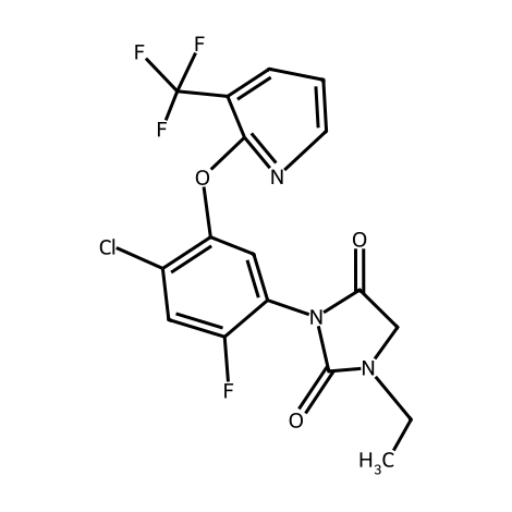 CCN1CC(=O)N(c2cc(Oc3ncccc3C(F)(F)F)c(Cl)cc2F)C1=O